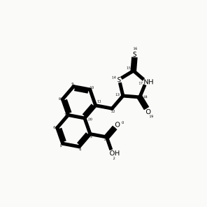 O=C(O)c1cccc2cccc(CC3SC(=S)NC3=O)c12